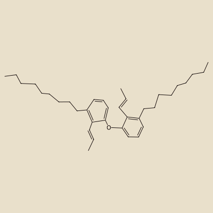 CC=Cc1c(CCCCCCCCC)cccc1Oc1cccc(CCCCCCCCC)c1C=CC